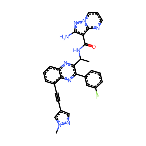 CC(NC(=O)c1c(N)nn2cccnc12)c1nc2cccc(C#Cc3cnn(C)c3)c2nc1-c1cccc(F)c1